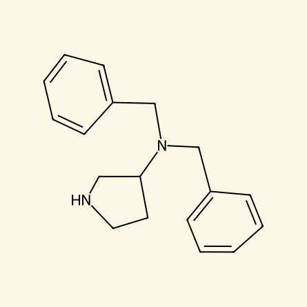 c1ccc(CN(Cc2ccccc2)C2CCNC2)cc1